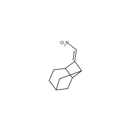 O=[N+]([O-])/C=C1\C2CCC3CC1C2C3